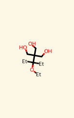 CCOC(CC)(CC)C(CO)(CO)CO